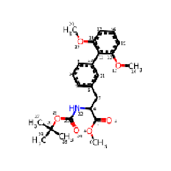 COC(=O)C(Cc1cccc(-c2c(OC)cccc2OC)c1)NC(=O)OC(C)(C)C